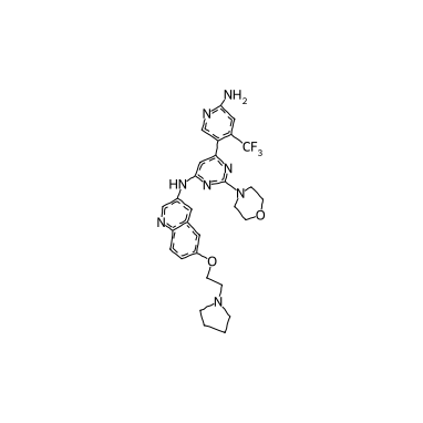 Nc1cc(C(F)(F)F)c(-c2cc(Nc3cnc4ccc(OCCN5CCCC5)cc4c3)nc(N3CCOCC3)n2)cn1